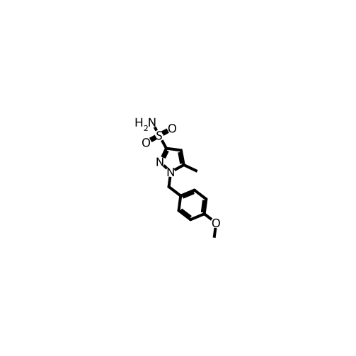 COc1ccc(Cn2nc(S(N)(=O)=O)cc2C)cc1